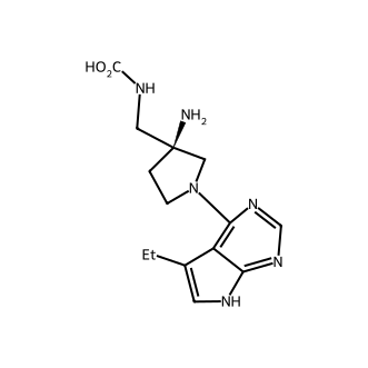 CCc1c[nH]c2ncnc(N3CC[C@](N)(CNC(=O)O)C3)c12